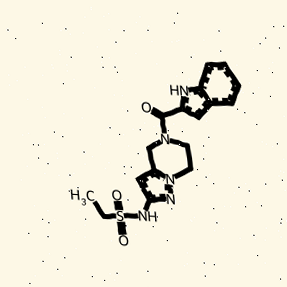 CCS(=O)(=O)Nc1cc2n(n1)CCN(C(=O)c1cc3ccccc3[nH]1)C2